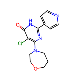 O=c1[nH]c(-c2ccncc2)nc(N2CCCOCC2)c1Cl